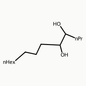 CCCCCCCCCC(O)C(O)CCC